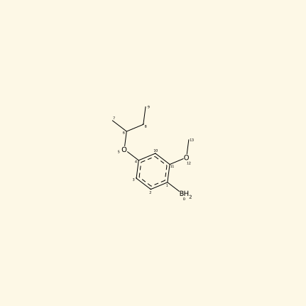 Bc1ccc(OC(C)CC)cc1OC